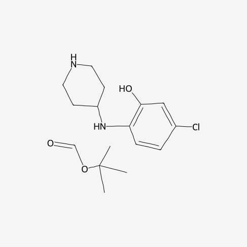 CC(C)(C)OC=O.Oc1cc(Cl)ccc1NC1CCNCC1